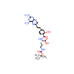 CC(C)(C)OC(=O)NCCC[C@H](NC(=O)c1ccc(/C=C/c2cnc3nc(N)nc(N)c3n2)cc1O)C(=O)O